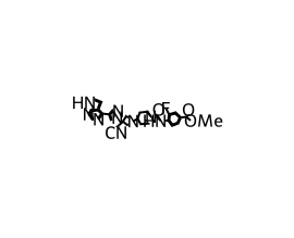 COC(=O)c1ccc(NC(=O)N2CCC(N3CC(CC#N)(n4cc(-c5ncnc6[nH]ccc56)cn4)C3)CC2)c(F)c1